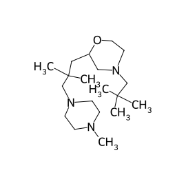 CN1CCN(CC(C)(C)CC2CN(CC(C)(C)C)CCO2)CC1